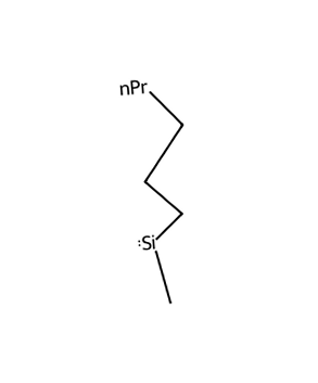 CCCCCC[Si]C